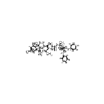 CC(C)[C@@H](NC(=O)NCC(C)(C)OP(=O)(OCc1ccccc1)OCc1ccccc1)C(=O)N1CC[C@](O)(c2ccc(Cl)cc2)C(C)(C)C1